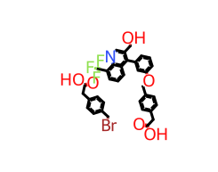 O=C(O)Cc1ccc(CBr)cc1.O=C(O)Cc1ccc(COc2cccc(-c3c(CO)cnc4c(C(F)(F)F)cccc34)c2)cc1